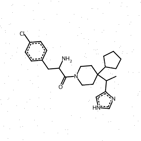 CC(c1c[nH]cn1)C1(C2CCCC2)CCN(C(=O)C(N)Cc2ccc(Cl)cc2)CC1